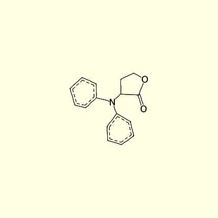 O=C1OCCC1N(c1ccccc1)c1ccccc1